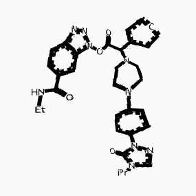 CCNC(=O)c1ccc2nnn(OC(=O)C(c3ccccc3)N3CCN(c4ccc(-n5ncn(C(C)C)c5=O)cc4)CC3)c2c1